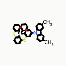 Cc1ccc2c(c1)c1cc(C)ccc1n2-c1ccc2c(c1)Sc1cccc3c1[Si]2(c1ccccc1)c1ccccc1S3